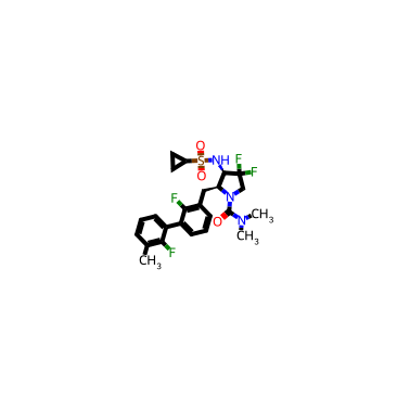 Cc1cccc(-c2cccc(C[C@H]3[C@@H](NS(=O)(=O)C4CC4)C(F)(F)CN3C(=O)N(C)C)c2F)c1F